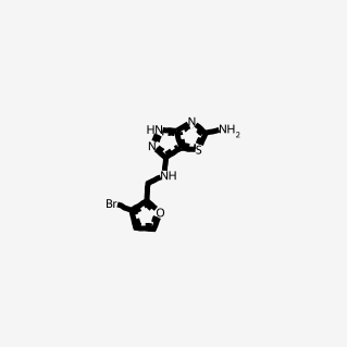 Nc1nc2[nH]nc(NCc3occc3Br)c2s1